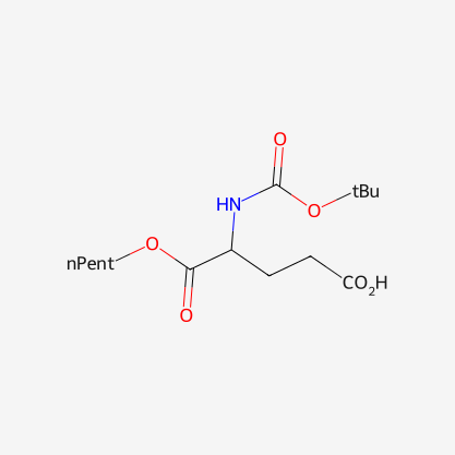 CCCCCOC(=O)C(CCC(=O)O)NC(=O)OC(C)(C)C